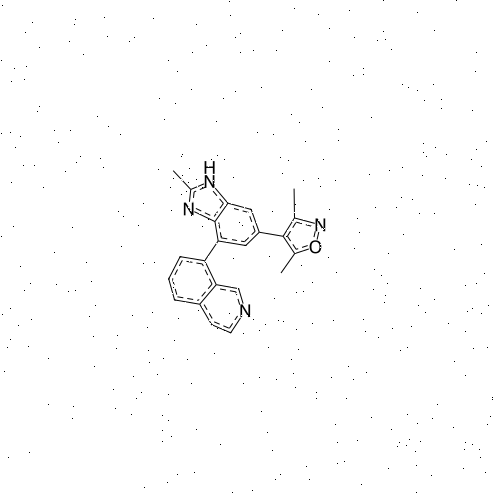 Cc1nc2c(-c3cccc4ccncc34)cc(-c3c(C)noc3C)cc2[nH]1